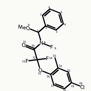 COC(c1ccccc1)N(F)C(=O)C(F)(F)Oc1ccc(Cl)cc1C